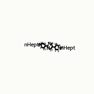 CCCCCCC[n+]1ccc(-c2cnc(-c3cc[n+](CCCCCCC)cc3)nc2)cc1